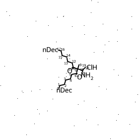 CCCCCCCCCCCCCCCC(=O)C(C)(C(=O)CCCCCCCCCCCCCCC)C(C)N.Cl